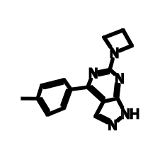 Cc1ccc(-c2nc(N3CCC3)nc3[nH]ncc23)cc1